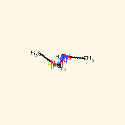 CCCCCCCCCCCCCCCC(=O)NCCNON(C)CNC(=O)CCCC(=O)NCC(C)COCC(C)(S)CNC(=O)CCCCCCCCCCCCCCC